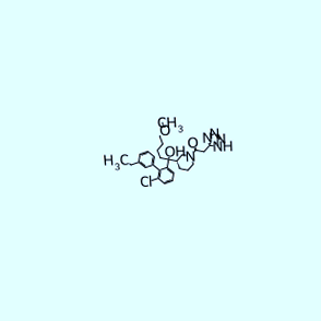 CCc1cccc(-c2c(Cl)cccc2[C@](O)(CCCCOC)[C@@H]2CCCN(C(=O)Cc3nnn[nH]3)C2)c1